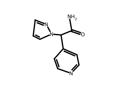 NC(=O)C(c1ccncc1)n1cccn1